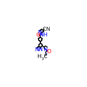 C/C=C/C(=O)N1CCC(c2cc(-c3ccc(C(=O)Nc4cc(C#N)ccn4)cc3)cc3cncnc23)C1